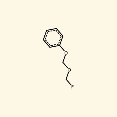 FCOCOc1ccccc1